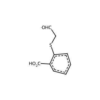 O=[C]CSc1ccccc1C(=O)O